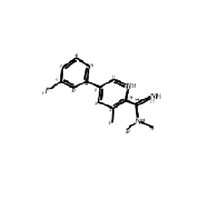 Cc1cc(-c2cccc(F)c2)cnc1C(=N)N(C)C